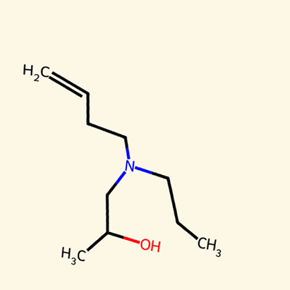 C=CCCN(CCC)CC(C)O